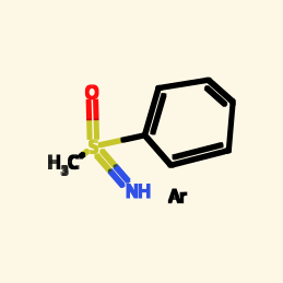 CS(=N)(=O)c1ccccc1.[Ar]